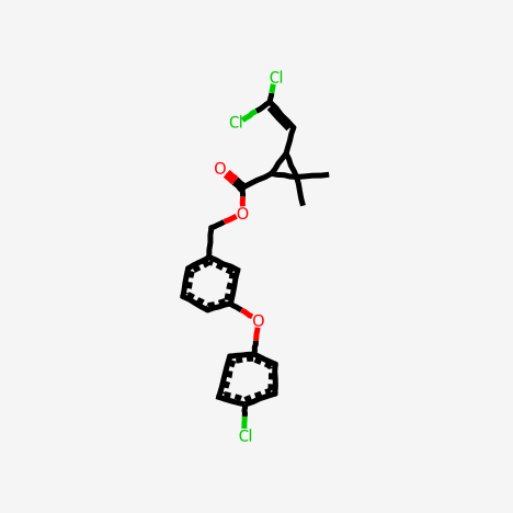 CC1(C)C(C=C(Cl)Cl)C1C(=O)OCc1cccc(Oc2ccc(Cl)cc2)c1